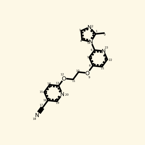 Cc1nccn1-c1cc(OCCOc2ccc(C#N)cn2)ccn1